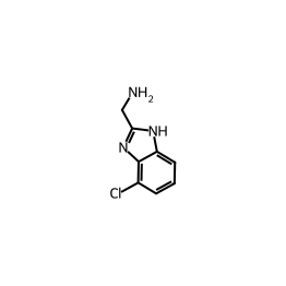 NCc1nc2c(Cl)cccc2[nH]1